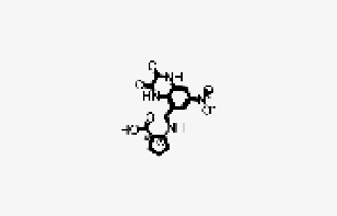 O=C(O)[C@@H]1CCC[C@@H]1NCc1cc([N+](=O)[O-])cc2[nH]c(=O)c(=O)[nH]c12